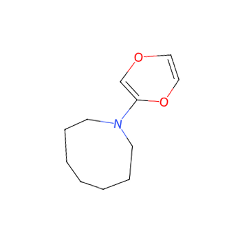 C1=COC(N2CCCCCCC2)=CO1